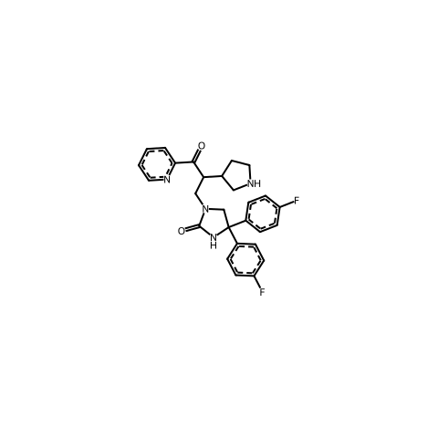 O=C(c1ccccn1)C(CN1CC(c2ccc(F)cc2)(c2ccc(F)cc2)NC1=O)C1CCNC1